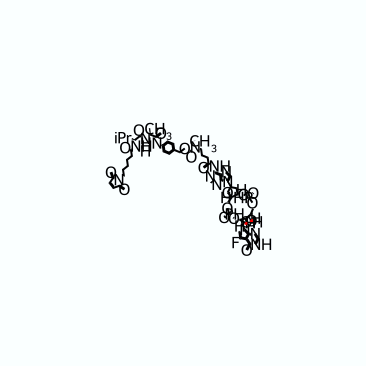 CC(C)[C@H](NC(=O)CCCCCN1C(=O)C=CC1=O)C(=O)N[C@@H](C)C(=O)Nc1ccc(COC(=O)N(C)CCCC(=O)Nc2ncnc3c2ncn3[C@H]2C[C@@H]3O[PH](=O)OC[C@H]4O[C@@H](n5cc(F)c6c(=O)[nH]cnc65)[C@H](O[PH](=O)OC[C@H]3O2)[C@@H]4O)cc1